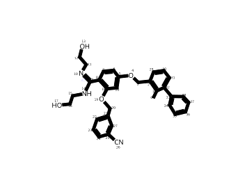 Cc1c(COc2ccc(/C(=N\CCO)NCCO)c(OCc3cccc(C#N)c3)c2)cccc1-c1ccccc1